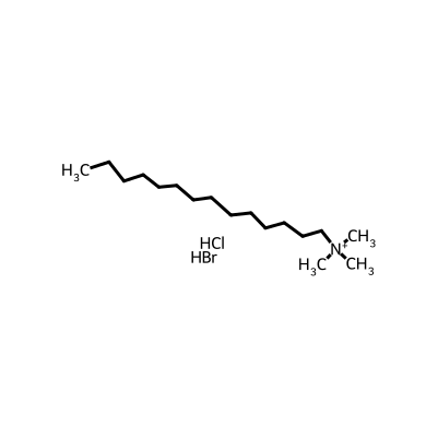 Br.CCCCCCCCCCCCCC[N+](C)(C)C.Cl